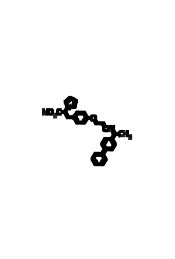 CC(=NOCCOc1ccc(CC(C(=O)O)n2cccc2)cc1)c1ccc(-c2ccccc2)cc1